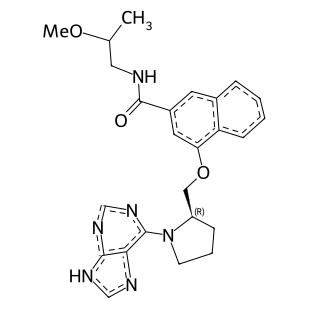 COC(C)CNC(=O)c1cc(OC[C@H]2CCCN2c2ncnc3[nH]cnc23)c2ccccc2c1